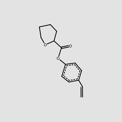 C=Cc1ccc(OC(=O)C2CCCCO2)cc1